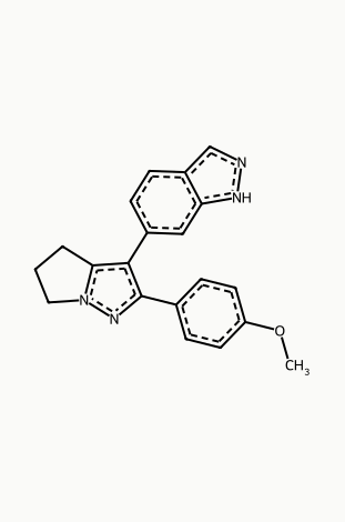 COc1ccc(-c2nn3c(c2-c2ccc4cn[nH]c4c2)CCC3)cc1